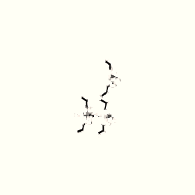 C=CCOP(=S)([S-])OCC=C.C=CCOP(=S)([S-])OCC=C.C=CCOP(=S)([S-])OCC=C.[Sb+3]